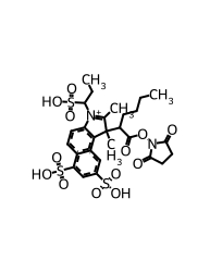 CCCCC(C(=O)ON1C(=O)CCC1=O)C1(C)C(C)=[N+](C(CC)S(=O)(=O)O)c2ccc3c(S(=O)(=O)O)cc(S(=O)(=O)O)cc3c21